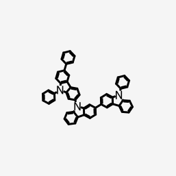 c1ccc(-c2ccc3c(c2)c2ccc(-n4c5ccccc5c5ccc(-c6ccc7c(c6)c6ccccc6n7-c6ccccc6)cc54)cc2n3-c2ccccc2)cc1